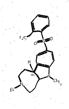 CCN1CCC2[C@H](CC1)c1cc(S(=O)(=O)c3ccccc3C(F)(F)F)ccc1N2C